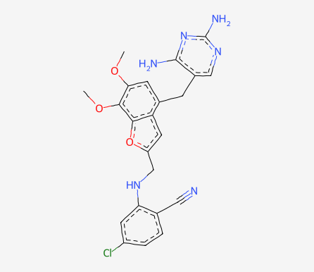 COc1cc(Cc2cnc(N)nc2N)c2cc(CNc3cc(Cl)ccc3C#N)oc2c1OC